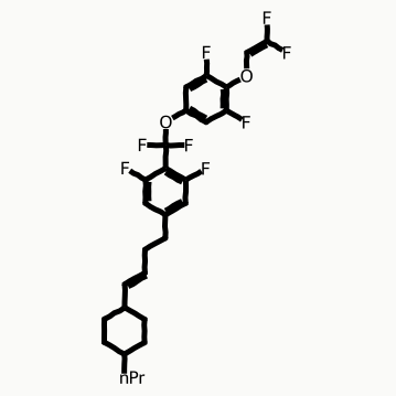 CCCC1CCC(/C=C/CCc2cc(F)c(C(F)(F)Oc3cc(F)c(OC=C(F)F)c(F)c3)c(F)c2)CC1